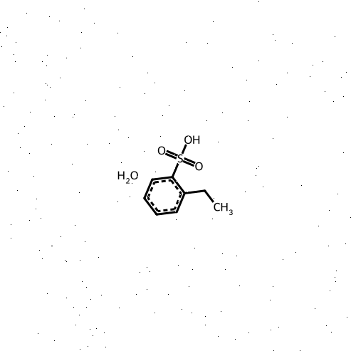 CCc1ccccc1S(=O)(=O)O.O